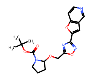 CC(C)(C)OC(=O)N1CCCC1OCc1nc(-c2cc3cnccc3o2)no1